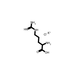 N=C(N)NCCCC(N)C(=O)O.[Cl-].[K+]